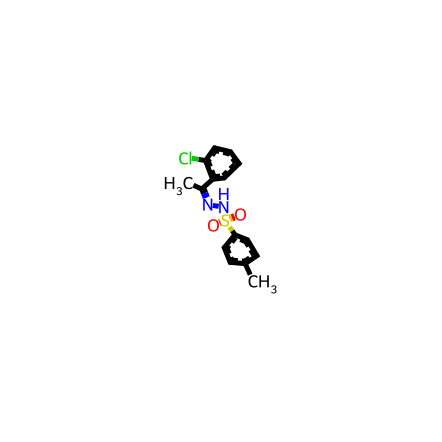 CC(=NNS(=O)(=O)c1ccc(C)cc1)c1ccccc1Cl